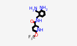 NCc1c(N)cccc1CNC(=O)C1=CC=C(OC(F)(F)F)NC1